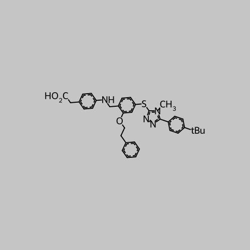 Cn1c(Sc2ccc(CNc3ccc(CC(=O)O)cc3)c(OCCc3ccccc3)c2)nnc1-c1ccc(C(C)(C)C)cc1